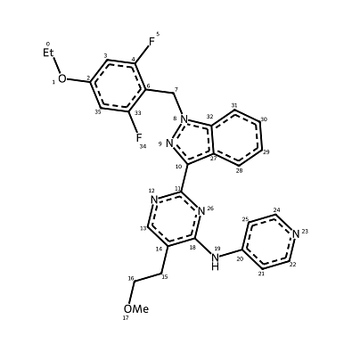 CCOc1cc(F)c(Cn2nc(-c3ncc(CCOC)c(Nc4ccncc4)n3)c3ccccc32)c(F)c1